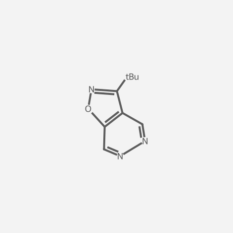 CC(C)(C)c1noc2cnncc12